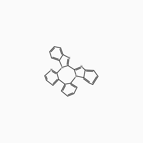 c1ccc2c(c1)nc1c3nc4ccccc4n3c3ncccc3c3ccccc3n21